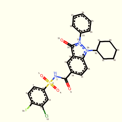 O=C(NS(=O)(=O)c1ccc(F)c(Cl)c1)c1ccc2c(c1)c(=O)n(-c1ccccc1)n2C1CCCCC1